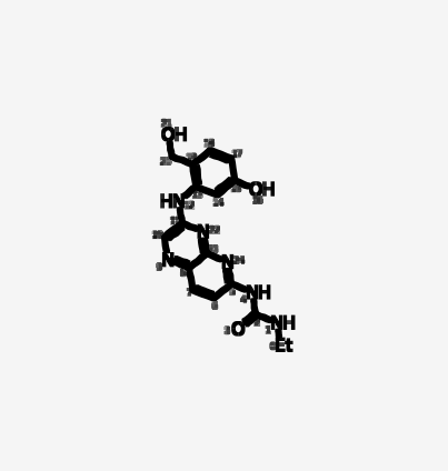 CCNC(=O)Nc1ccc2ncc(Nc3cc(O)ccc3CO)nc2n1